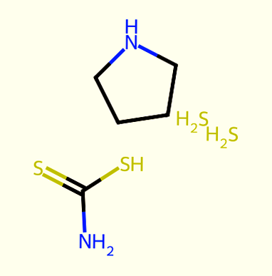 C1CCNC1.NC(=S)S.S.S